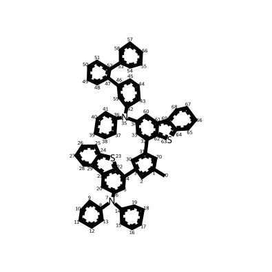 Cc1cc(-c2cc(N(c3ccccc3)c3ccccc3)cc3c2sc2ccccc23)cc(-c2cc(N(c3ccccc3)c3cccc(-c4ccccc4-c4ccccc4)c3)cc3c2sc2ccccc23)c1